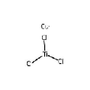 [Cl][Ti]([Cl])[Cl].[Cu]